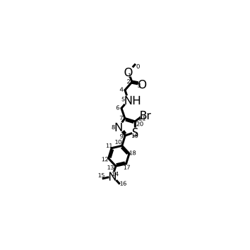 COC(=O)CNCc1nc(-c2ccc(N(C)C)cc2)sc1Br